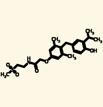 Cc1cc(OCC(=O)NCCS(C)(=O)=O)cc(C)c1Cc1ccc(O)c(C(C)C)c1